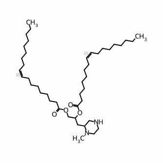 CCCCCCCC/C=C\CCCCCCCC(=O)OCC(CC1CNCCN1C)OC(=O)CCCCCCC/C=C\CCCCCCCC